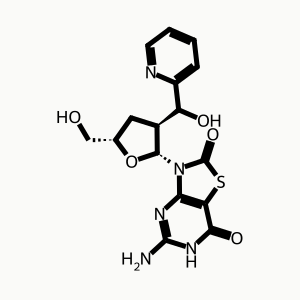 Nc1nc2c(sc(=O)n2[C@@H]2O[C@H](CO)C[C@H]2C(O)c2ccccn2)c(=O)[nH]1